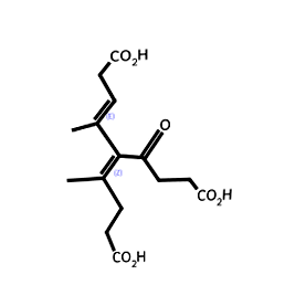 C/C(CCC(=O)O)=C(C(=O)CCC(=O)O)\C(C)=C\CC(=O)O